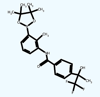 Cc1c(NC(=O)c2ccc(C(C)(O)C(F)(F)F)cc2)cccc1B1OC(C)(C)C(C)(C)O1